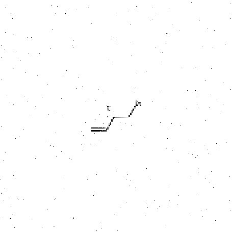 C=CCCCC.[C]